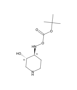 CC(C)(C)OC(=O)ON[C@H]1CCNC[C@@H]1O